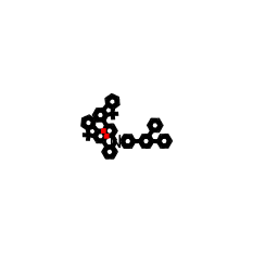 CC1(C)c2ccccc2-c2ccc(-c3ccccc3N(c3ccc(-c4ccc(-c5ccccc5)c(-c5ccccc5)c4)cc3)c3ccc(-c4cccc5c4C(C)(C)c4ccccc4-5)cc3)cc21